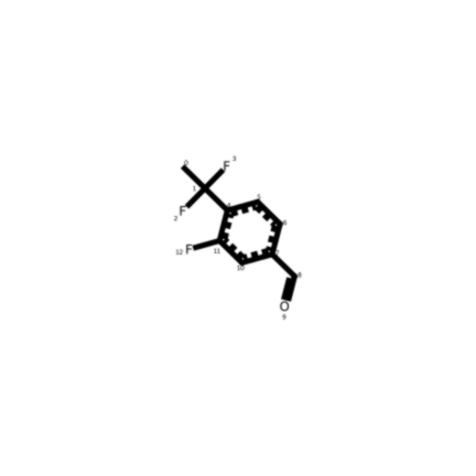 CC(F)(F)c1ccc(C=O)cc1F